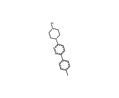 Cc1ccc(-c2ccc(N3CCN(C(C)C)CC3)nn2)cc1